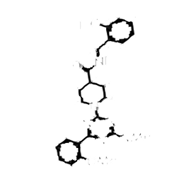 CNc1nc(-c2ccccc2OC)nc(N2CCC(C(=O)NCc3ccccc3C(F)(F)F)CC2)n1